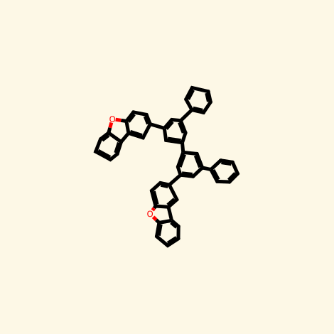 c1ccc(-c2cc(-c3cc(-c4ccccc4)cc(-c4ccc5oc6ccccc6c5c4)c3)cc(-c3ccc4oc5ccccc5c4c3)c2)cc1